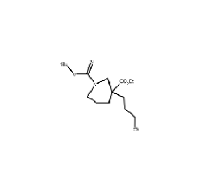 CCOC(=O)C1(CCCC#N)CCCN(C(=O)OC(C)(C)C)C1